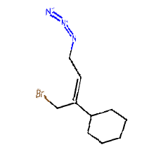 [N-]=[N+]=NC/C=C(\CBr)C1CCCCC1